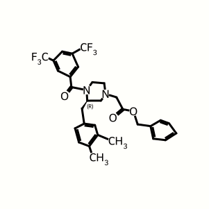 Cc1ccc(C[C@@H]2CN(CC(=O)OCc3ccccc3)CCN2C(=O)c2cc(C(F)(F)F)cc(C(F)(F)F)c2)cc1C